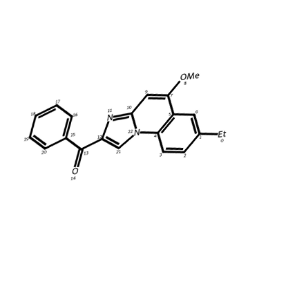 CCc1ccc2c(c1)c(OC)cc1nc(C(=O)c3ccccc3)cn12